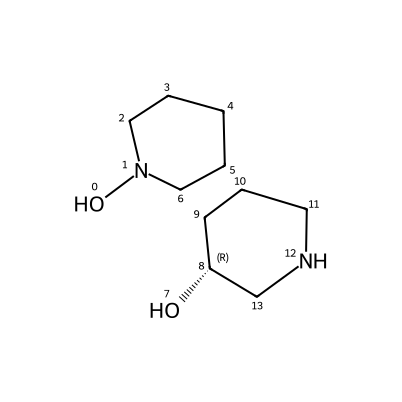 ON1CCCCC1.O[C@@H]1CCCNC1